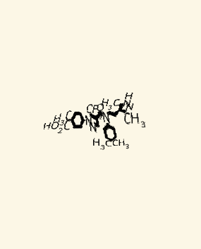 Cc1n[nH]c(C)c1CCN(C(=O)c1cnn([C@H]2CC[C@](C)(C(=O)O)CC2)c1C(F)(F)F)C1CCC(C)(C)CC1